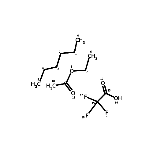 CCCCCC.CCOC(C)=O.O=C(O)C(F)(F)F